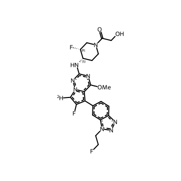 [2H]c1c(F)c(-c2ccc3nnn(CCF)c3c2)c2c(OC)nc(N[C@H]3CCN(C(=O)CO)C[C@H]3F)nn12